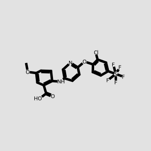 COc1ccc(Nc2ccc(Oc3ccc(S(F)(F)(F)(F)F)cc3Cl)nc2)c(C(=O)O)c1